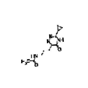 CC(=O)NCCCc1nnc(C2CC2)[nH]c1=O